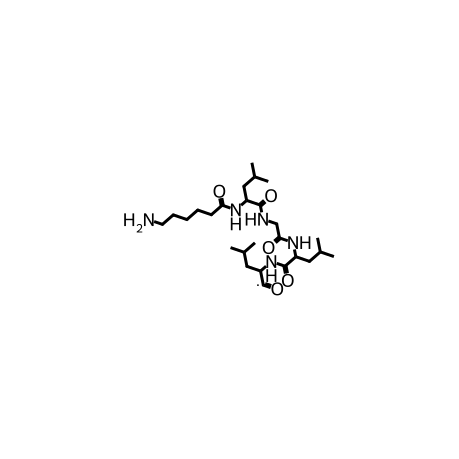 CC(C)CC([C]=O)NC(=O)C(CC(C)C)NC(=O)CNC(=O)C(CC(C)C)NC(=O)CCCCCN